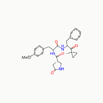 COc1ccc(CC(NC(=O)C2CNC(=O)C2)C(=O)NC(Cc2ccccc2)C(=O)C2(C)CC2)cc1